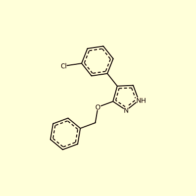 Clc1cccc(-c2c[nH]nc2OCc2ccccc2)c1